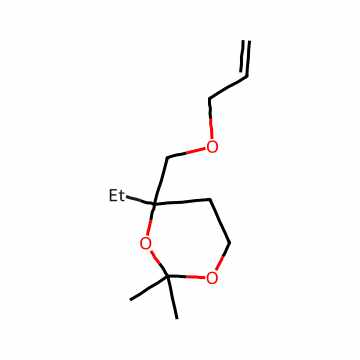 C=CCOCC1(CC)CCOC(C)(C)O1